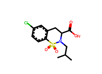 CC(C)CN1C(C(=O)O)Cc2cc(Cl)ccc2S1(=O)=O